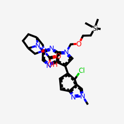 Cn1cc2c(Cl)c(-c3cn(COCC[Si](C)(C)C)c4nc(N5C6CCC5CN(C(=O)O)C6)cnc34)ccc2n1